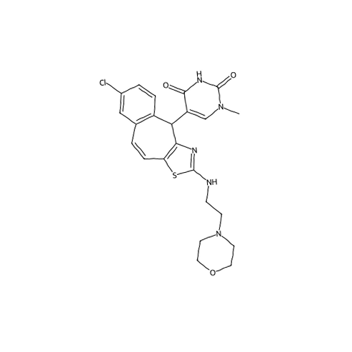 Cn1cc(C2c3ccc(Cl)cc3C=Cc3sc(NCCN4CCOCC4)nc32)c(=O)[nH]c1=O